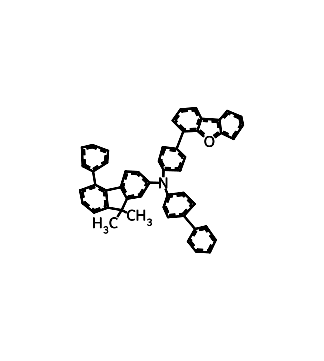 CC1(C)c2cc(N(c3ccc(-c4ccccc4)cc3)c3ccc(-c4cccc5c4oc4ccccc45)cc3)ccc2-c2c(-c3ccccc3)cccc21